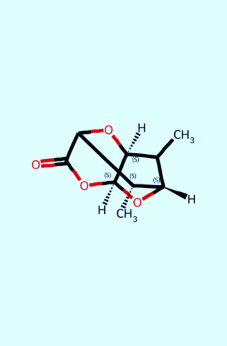 CC1[C@@H]2OC3C(=O)O[C@@H]2O[C@@H]1[C@@H]3C